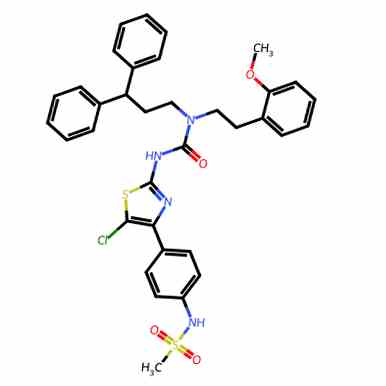 COc1ccccc1CCN(CCC(c1ccccc1)c1ccccc1)C(=O)Nc1nc(-c2ccc(NS(C)(=O)=O)cc2)c(Cl)s1